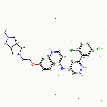 CN1CC2CN(CCOc3ccc4c(Nc5cnnc(-c6cc(Cl)ccc6F)c5)ccnc4c3)CC2C1